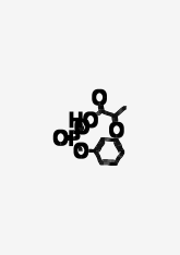 CC(=O)C(=O)O.O=P(=O)Oc1ccccc1